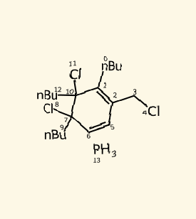 CCCCC1=C(CCl)C=CC(Cl)(CCCC)C1(Cl)CCCC.P